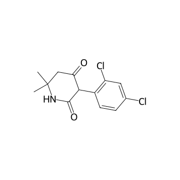 CC1(C)CC(=O)C(c2ccc(Cl)cc2Cl)C(=O)N1